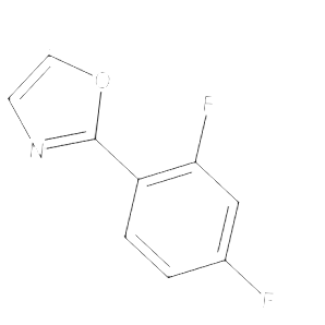 Fc1ccc(-c2nc[c]o2)c(F)c1